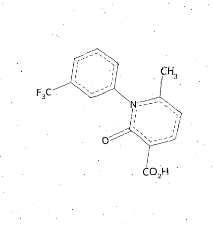 Cc1ccc(C(=O)O)c(=O)n1-c1cccc(C(F)(F)F)c1